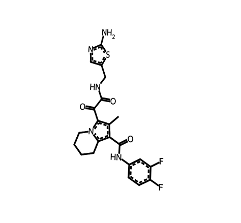 Cc1c(C(=O)Nc2ccc(F)c(F)c2)c2n(c1C(=O)C(=O)NCc1cnc(N)s1)CCCC2